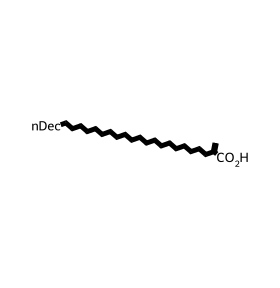 C=C(CCCCCCCCCCCCCCCCCCCCCCCCCCCCCC)C(=O)O